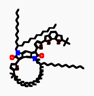 CCCCCCCCCCCCC1CCCCCCCCCCC(C)(C)c2ccc(s2)C2=c3cc4c(cc3N(CC(CCCCCCCCCC)CCCCCCCCCCCC)C2=O)=C(c2ccc(-c3cc5ccc6cc(C(C)(C)C)sc6c5s3)s2)C(=O)N4C1